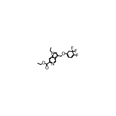 CCOC(=O)c1cc2c(cn1)c(COC1=CC=C(F)C(F)(F)C1)cn2CC